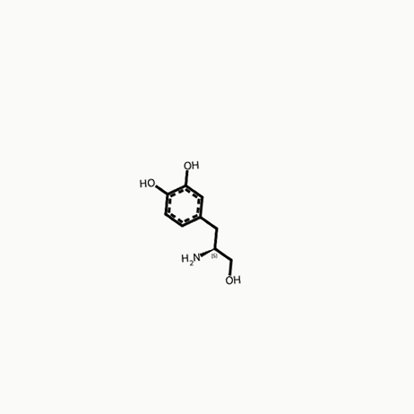 N[C@H](CO)Cc1ccc(O)c(O)c1